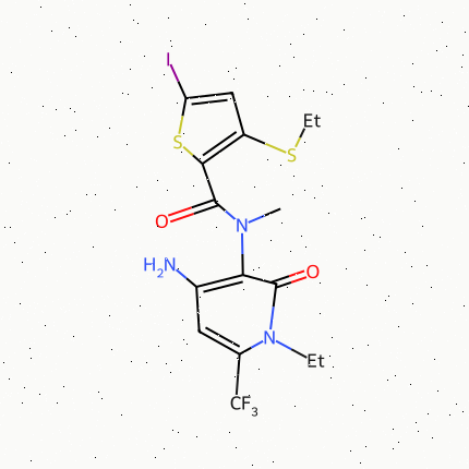 CCSc1cc(I)sc1C(=O)N(C)c1c(N)cc(C(F)(F)F)n(CC)c1=O